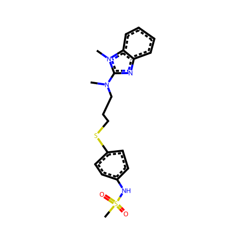 CN(CCCSc1ccc(NS(C)(=O)=O)cc1)c1nc2ccccc2n1C